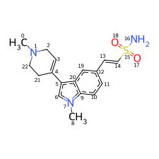 CN1CC=C(c2cn(C)c3ccc(/C=C/S(N)(=O)=O)cc23)CC1